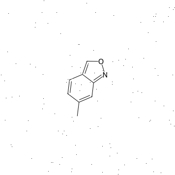 Cc1ccc2conc2c1